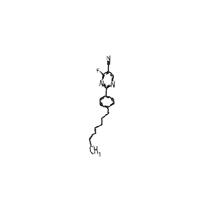 CCCCCCCc1ccc(-c2ncc(C#N)c(F)n2)cc1